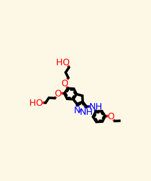 CCOc1cccc(Nc2[nH]nc3c2Cc2cc(OCCCO)c(OCCCO)cc2-3)c1